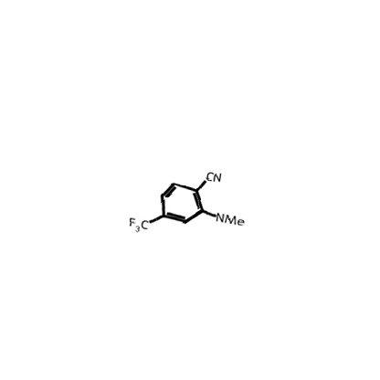 CNc1cc(C(F)(F)F)ccc1C#N